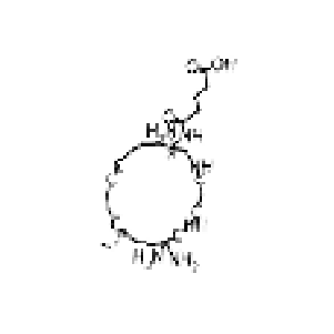 CC[C@@H]1CCCCCCCC[C@@](N)(NC(=O)CCCC(=O)O)CNCCCNCC(N)(N)CC1